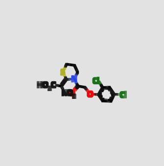 O=C(O)C(=C1SCCCN1C(=O)COc1ccc(Cl)cc1Cl)[N+](=O)[O-]